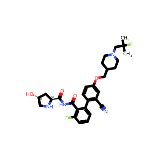 CC(C)(F)CN1CCC(COc2ccc(-c3cccc(F)c3C(=O)NC(=O)[C@@H]3C[C@@H](O)CN3)c(C#N)c2)CC1